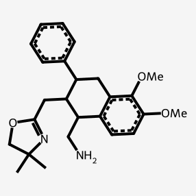 COc1ccc2c(c1OC)CC(c1ccccc1)C(CC1=NC(C)(C)CO1)C2CN